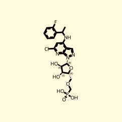 CC(Nc1cc(Cl)nc2c1cnn2[C@@H]1O[C@H](COCP(=O)(O)O)[C@@H](O)[C@H]1O)c1ccccc1F